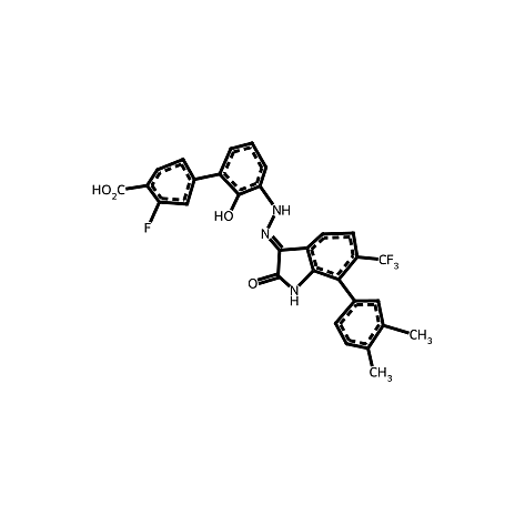 Cc1ccc(-c2c(C(F)(F)F)ccc3c2NC(=O)C3=NNc2cccc(-c3ccc(C(=O)O)c(F)c3)c2O)cc1C